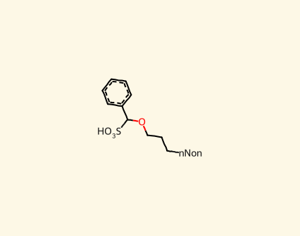 CCCCCCCCCCCCOC(c1ccccc1)S(=O)(=O)O